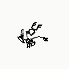 COC(=O)c1[nH]c(=O)n(CCCCCBr)c1Cc1ccc(F)c(F)c1